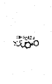 CC(C)(C)OC=O.C[Si](C)(C)CC(=O)Cc1ccc(N2CCCCC2)cc1